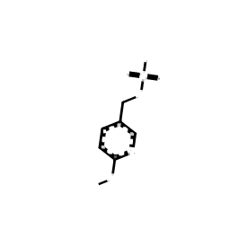 COc1ccc(COS(C)(=O)=O)cn1